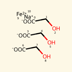 O=C([O-])CO.O=C([O-])CO.O=C([O-])CO.[Fe+2].[Na+]